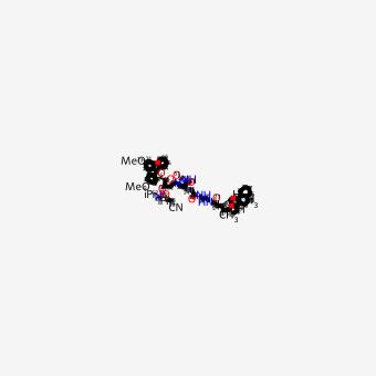 COc1ccc(C(OC[C@H]2O[C@@H](n3cc(/C=C/C(=O)NCCNC(=O)CC[C@@H](C)[C@H]4CC[C@H]5[C@@H]6CC[C@@H]7CCCC[C@]7(C)[C@H]6CC[C@]45C)c(=O)[nH]c3=O)C[C@H]2OP(OCCC#N)N(C(C)C)C(C)C)(c2ccccc2)c2ccc(OC)cc2)cc1